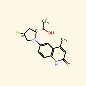 O=c1cc(C(F)(F)F)c2cc(N3C[C@@H](F)C[C@@H]3C(O)C(F)(F)F)ccc2[nH]1